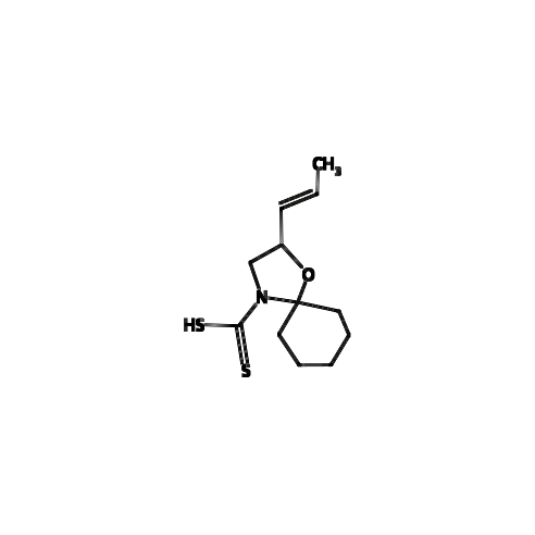 CC=CC1CN(C(=S)S)C2(CCCCC2)O1